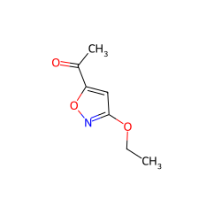 CCOc1cc(C(C)=O)on1